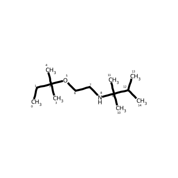 CCC(C)(C)OCCNC(C)(C)C(C)C